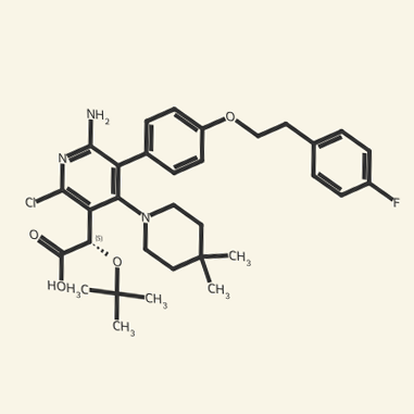 CC1(C)CCN(c2c(-c3ccc(OCCc4ccc(F)cc4)cc3)c(N)nc(Cl)c2[C@H](OC(C)(C)C)C(=O)O)CC1